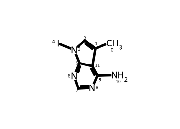 Cc1cn(I)c2ncnc(N)c12